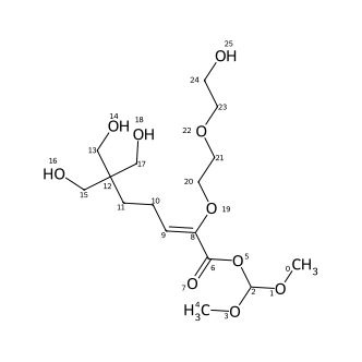 COC(OC)OC(=O)C(=CCCC(CO)(CO)CO)OCCOCCO